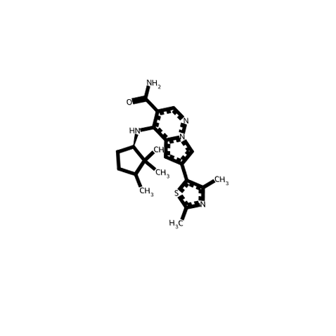 Cc1nc(C)c(-c2cc3c(N[C@@H]4CCC(C)C4(C)C)c(C(N)=O)cnn3c2)s1